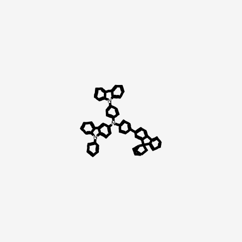 c1ccc(-n2c3ccccc3c3cc(N(c4ccc(-c5ccc6c(c5)C5(CC7CCC5C7)c5ccccc5-6)cc4)c4ccc(-n5c6ccccc6c6ccccc65)cc4)ccc32)cc1